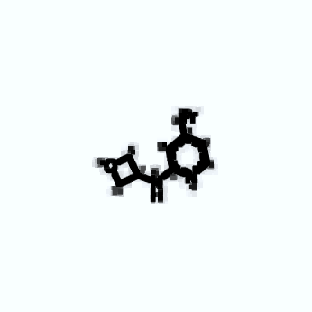 CC(C)c1ccnc(NC2COC2)c1